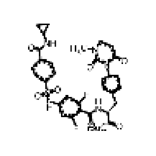 CC(C)COC(=O)[C@H](Cc1ccc(-n2c(=O)ccn(C)c2=O)cc1)NC(=O)c1c(F)cc(NS(=O)(=O)c2ccc(C(=O)NC3CC3)cc2)cc1F